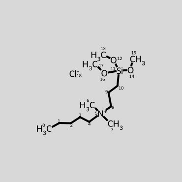 CCCCC[N+](C)(C)CCC[Si](OC)(OC)OC.[Cl-]